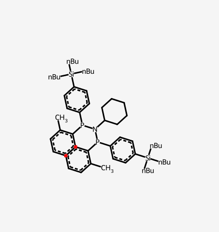 CCCC[Si](CCCC)(CCCC)c1ccc(P(c2ccccc2C)N(C2CCCCC2)P(c2ccc([Si](CCCC)(CCCC)CCCC)cc2)c2ccccc2C)cc1